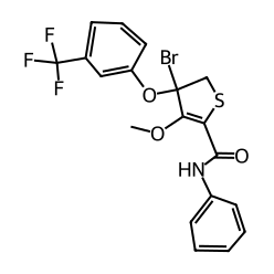 COC1=C(C(=O)Nc2ccccc2)SCC1(Br)Oc1cccc(C(F)(F)F)c1